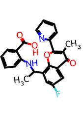 Cc1c(-c2ccccn2)oc2c(C(C)Nc3ccccc3C(=O)O)cc(F)cc2c1=O